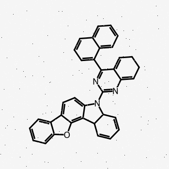 C1=CC2c3c(ccc4c3oc3ccccc34)N(c3nc(-c4cccc5ccccc45)c4c(n3)=CCCC=4)C2C=C1